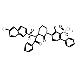 CS(=O)(=O)c1c(-c2ccccc2)ccc(N2CCCC(N(C(=O)c3ccccc3)S(=O)(=O)c3ccc4cc(Cl)ccc4c3)C2=O)c1F